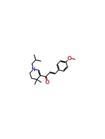 COc1ccc(C=CC(=O)C2=CN(CC(C)C)CCC2(C)C)cc1